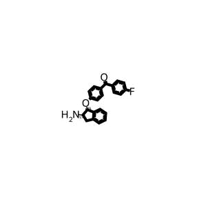 N[C@H]1Cc2ccccc2[C@H]1Oc1ccc(C(=O)c2ccc(F)cc2)cc1